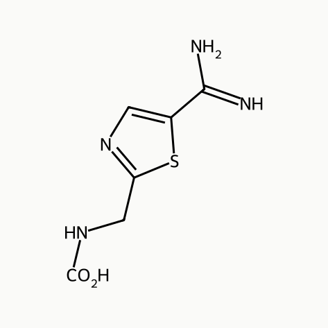 N=C(N)c1cnc(CNC(=O)O)s1